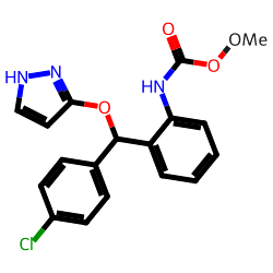 COOC(=O)Nc1ccccc1C(Oc1cc[nH]n1)c1ccc(Cl)cc1